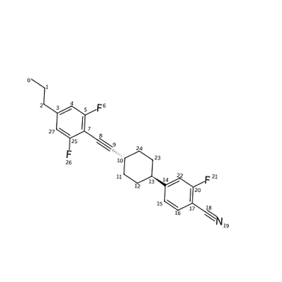 CCCc1cc(F)c(C#C[C@H]2CC[C@H](c3ccc(C#N)c(F)c3)CC2)c(F)c1